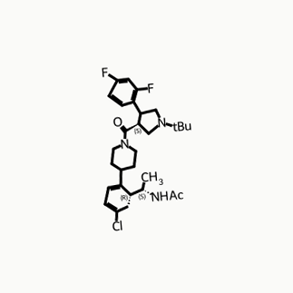 CC(=O)N[C@@H](C)[C@@H]1CC(Cl)=CC=C1C1CCN(C(=O)[C@@H]2CN(C(C)(C)C)CC2c2ccc(F)cc2F)CC1